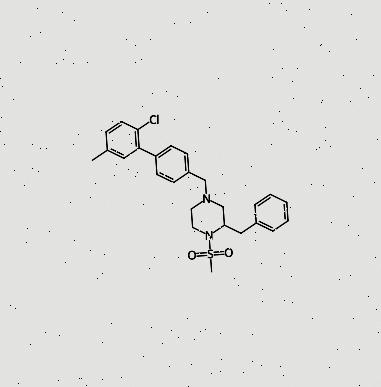 Cc1ccc(Cl)c(-c2ccc(CN3CCN(S(C)(=O)=O)C(Cc4ccccc4)C3)cc2)c1